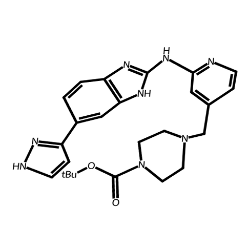 CC(C)(C)OC(=O)N1CCN(Cc2ccnc(Nc3nc4ccc(-c5cc[nH]n5)cc4[nH]3)c2)CC1